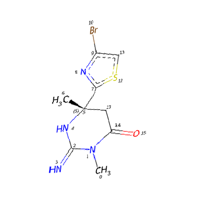 CN1C(=N)N[C@](C)(c2nc(Br)cs2)CC1=O